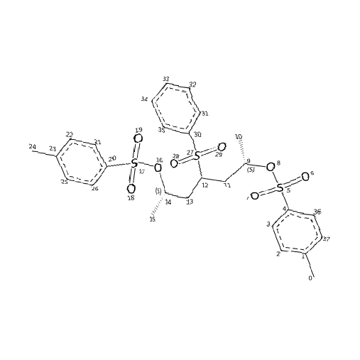 Cc1ccc(S(=O)(=O)O[C@@H](C)CC(C[C@H](C)OS(=O)(=O)c2ccc(C)cc2)S(=O)(=O)c2ccccc2)cc1